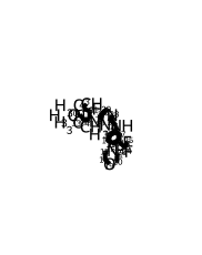 CN1C(C)(C)CC(Nc2nc(Nc3ccc(N4CCOCC4)c(C(F)(F)F)c3)ncc2F)C1(C)C